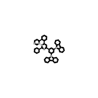 c1ccc(-c2nc(-c3cc(-n4c5ccccc5c5ccccc54)cc(-n4c5ccccc5c5ccccc54)c3)cc(-c3ccccc3-c3ccncn3)n2)cc1